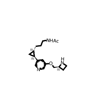 CC(=O)NCCC[C@H]1C[C@@H]1c1cncc(OC[C@@H]2CCN2)c1